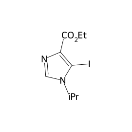 CCOC(=O)c1ncn(C(C)C)c1I